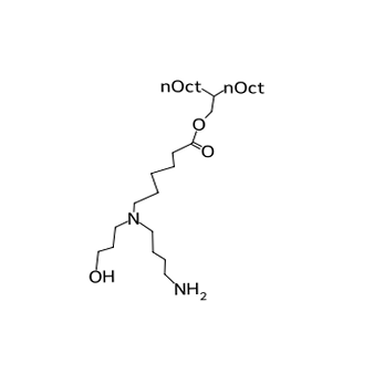 CCCCCCCCC(CCCCCCCC)COC(=O)CCCCCN(CCCO)CCCCN